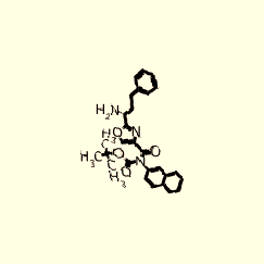 CC(C)(C)OC(=O)N(C(=O)c1coc([C@H](N)CCc2ccccc2)n1)c1ccc2ccccc2c1